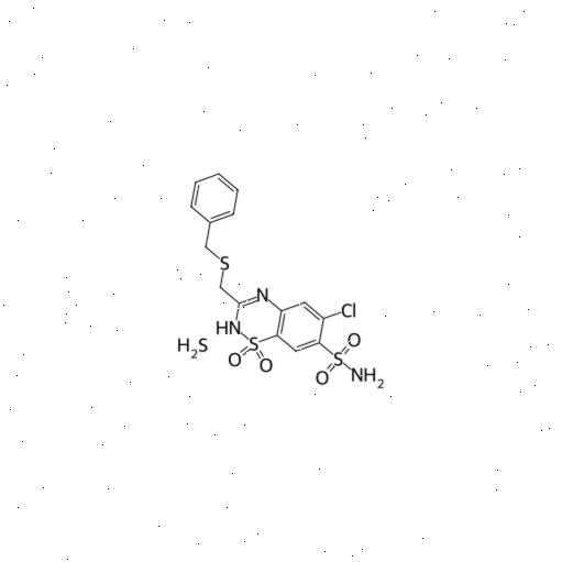 NS(=O)(=O)c1cc2c(cc1Cl)N=C(CSCc1ccccc1)NS2(=O)=O.S